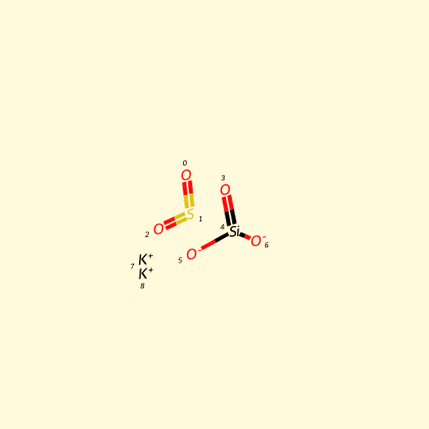 O=S=O.O=[Si]([O-])[O-].[K+].[K+]